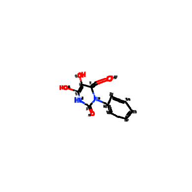 O=c1[nH]c(O)c(O)c(=O)n1-c1ccccc1